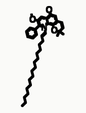 CCCCCCCCCCCCCCCCC=Cn1c(-c2ccccc2)c(OC)cc2c(=O)cc3c(c1-2)OC(C)(C)C=C3